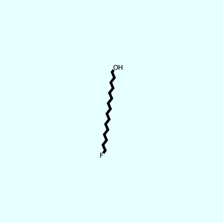 OCCCCCCCCCCCCCCCCF